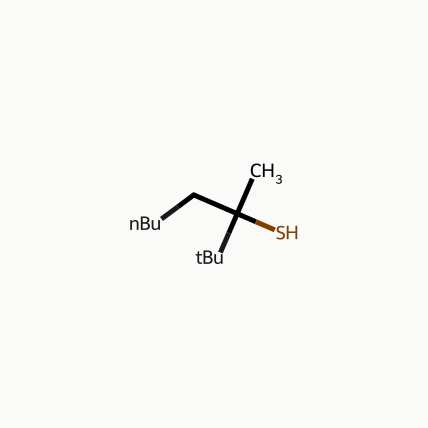 CCCCCC(C)(S)C(C)(C)C